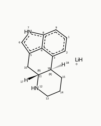 [LiH].c1cc2c3c(c[nH]c3c1)C[C@H]1NCCC[C@H]21